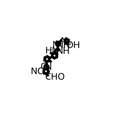 Cc1c(NC(=N)c2ncc(CN3CC[C@H](O)C3)[nH]2)cccc1-c1cccc(-c2nc3cc(C=O)cc(C#N)c3o2)c1C